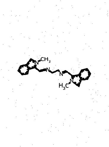 Cn1cc2ccccc2c1C=NCCN=Cc1c2ccccc2cn1C